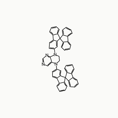 c1ccc2c(c1)-c1ccccc1C21c2ccccc2-c2ccc(N3CCN(c4ccc5c(c4)C4(c6ccccc6-c6ccccc64)c4ccccc4-5)c4ncncc43)cc21